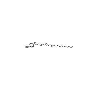 C=CCCCCCCCCCOCCOCCOCCOc1ccc(O)cc1